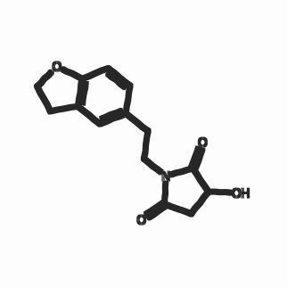 O=C1CC(O)C(=O)N1CCc1ccc2c(c1)CCO2